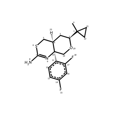 CC1([C@@H]2C[C@@H]3CSC(N)=N[C@]3(c3ccc(F)cc3F)CO2)CC1